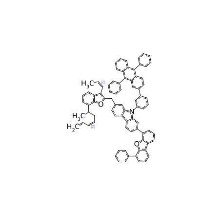 C=C/C=C\CC(C)c1cccc2c(/C=C\C)c(Cc3ccc4c5ccc(-c6cccc7c6oc6c(-c8ccccc8)cccc67)cc5n(-c5cccc(-c6ccc7c(-c8ccccc8)c8ccccc8c(-c8ccccc8)c7c6)c5)c4c3)oc12